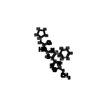 CCc1nc(-c2sc(NC(=O)CC3CCCC3)nc2-c2ccccc2)no1